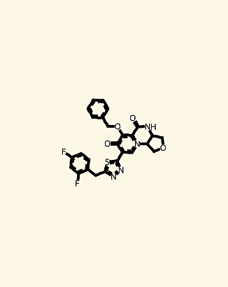 O=C1NC2COCC2n2cc(-c3nnc(Cc4ccc(F)cc4F)s3)c(=O)c(OCc3ccccc3)c21